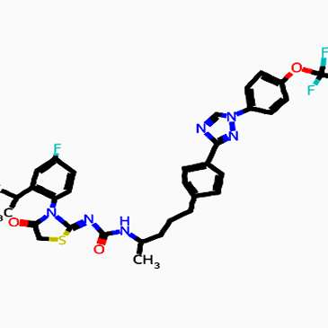 CC(CCCc1ccc(-c2ncn(-c3ccc(OC(F)(F)F)cc3)n2)cc1)NC(=O)/N=C1\SCC(=O)N1c1ccc(F)cc1C(C)C